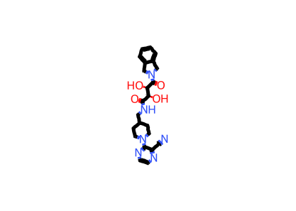 N#Cc1nccnc1N1CCC(CNC(=O)[C@H](O)[C@@H](O)C(=O)N2Cc3ccccc3C2)CC1